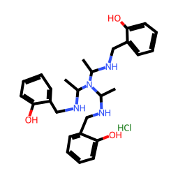 CC(NCc1ccccc1O)N(C(C)NCc1ccccc1O)C(C)NCc1ccccc1O.Cl